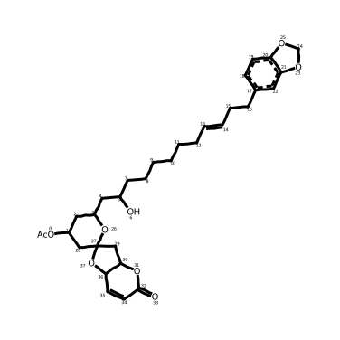 CC(=O)OC1CC(CC(O)CCCCCC/C=C/CCc2ccc3c(c2)OCO3)OC2(C1)CC1OC(=O)C=CC1O2